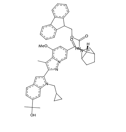 COc1cc(C(=O)N2CC3CCC2[C@@H]3NC(=O)OCC2c3ccccc3-c3ccccc32)cn2nc(-c3cc4ccc(C(C)(C)O)cc4n3CC3CC3)c(C)c12